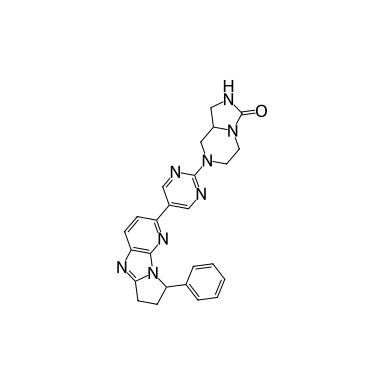 O=C1NCC2CN(c3ncc(-c4ccc5nc6n(c5n4)C(c4ccccc4)CC6)cn3)CCN12